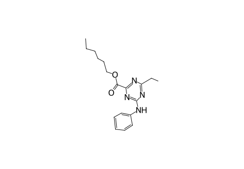 CCCCCCOC(=O)c1nc(CC)nc(Nc2ccccc2)n1